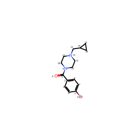 O=C(c1ccc(Br)cc1)N1CCN(CC2CC2)CC1